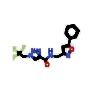 O=C(NCc1cc(-c2ccccc2)on1)c1cn(CC(F)(F)F)nn1